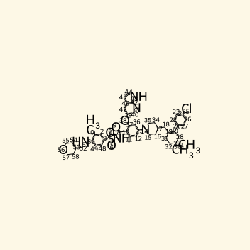 Cc1cc(S(=O)(=O)NC(=O)c2ccc(N3CCC(CC4=C(c5ccc(Cl)cc5)CC(C)(C)CC4)CC3)cc2Oc2cnc3[nH]ccc3c2)ccc1NCC1CCOCC1